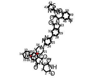 O=C1CCC(N2C(=O)c3ccc(N4C5CC4CN(CC4CCN(c6ccc(-c7ccc8c(c7)C(=O)N(C(C(=O)Nc7nccs7)c7cc(F)ccc7O)C8)nn6)CC4)C5)cc3C2=O)C(=O)N1